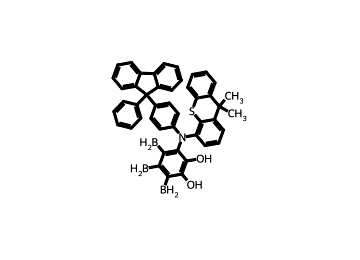 Bc1c(B)c(O)c(O)c(N(c2ccc(C3(c4ccccc4)c4ccccc4-c4ccccc43)cc2)c2cccc3c2Sc2ccccc2C3(C)C)c1B